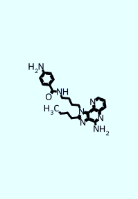 CCCCc1nc2c(N)nc3cccnc3c2n1CCCCNC(=O)c1ccc(N)cc1